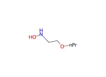 CCCOCCNO